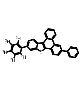 [2H]c1c([2H])c([2H])c(-c2ccc3c(c2)sc2c4ccc(-c5ccccc5)cc4c4ccccc4c32)c([2H])c1[2H]